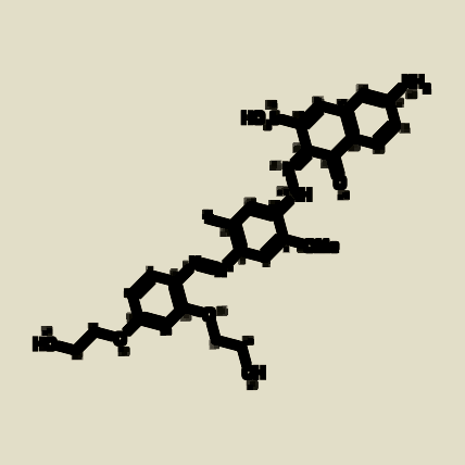 COc1cc(/N=N/c2ccc(OCCO)cc2OCCO)c(C)cc1N/N=C1\C(=O)c2ccc(N)cc2C=C1S(=O)(=O)O